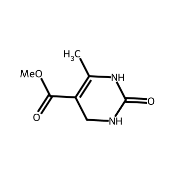 COC(=O)C1=C(C)NC(=O)NC1